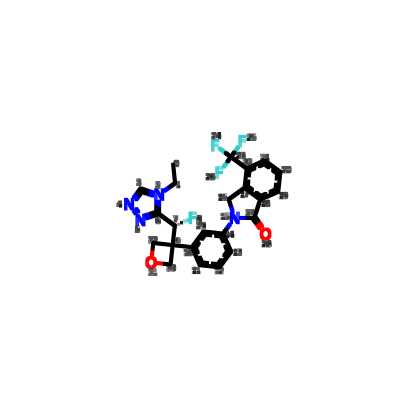 CCn1cnnc1[C@H](F)C1(c2cccc(N3Cc4c(cccc4C(F)(F)F)C3=O)c2)COC1